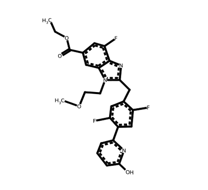 CCOC(=O)c1cc(F)c2nc(Cc3cc(F)c(-c4cccc(O)n4)cc3F)n(CCOC)c2c1